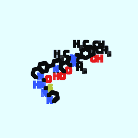 Cc1c(-c2ccc(-c3ccc4c(c3)N(C(=O)Nc3nc5ncccc5s3)CCC4)nc2C(=O)O)cnn1CC1(C)CC2(C)CC(C)(C)CC(O)(C1)C2